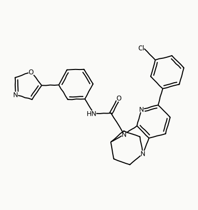 O=C(Nc1cccc(-c2cnco2)c1)N1c2nc(-c3cccc(Cl)c3)ccc2N2CCC1CC2